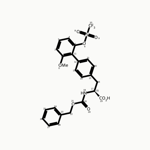 COc1cccc(OS(=O)(=O)C(F)(F)F)c1-c1ccc(C[C@H](NC(=O)OCc2ccccc2)C(=O)O)cc1